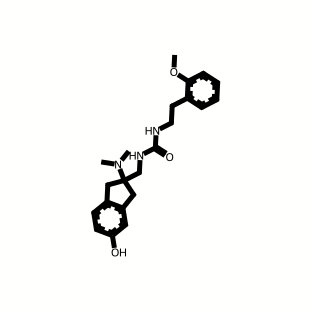 COc1ccccc1CCNC(=O)NCC1(N(C)C)Cc2ccc(O)cc2C1